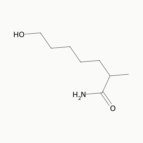 CC(CCCCCO)C(N)=O